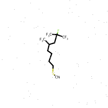 N#CSCCCCC(CC(F)(C(F)(F)F)C(F)(F)F)C(F)(F)F